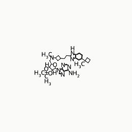 CN(C[C@H]1O[C@@H](n2cnc3c(N)ncnc32)[C@@H]2OC(C)(C)O[C@@H]21)C1CC(CCc2nc3cc(C4(C)CCC4)ccc3[nH]2)C1